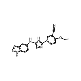 CCOc1ccc(-c2nnc(Nc3ccc4[nH]ncc4c3)[nH]2)cc1C#N